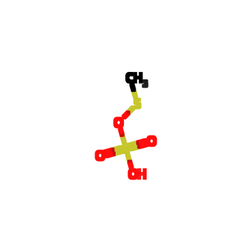 CSOS(=O)(=O)O